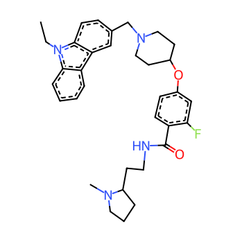 CCn1c2ccccc2c2cc(CN3CCC(Oc4ccc(C(=O)NCCC5CCCN5C)c(F)c4)CC3)ccc21